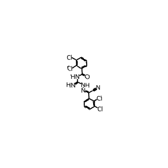 N#C/C(=N\NC(=N)NC(=O)c1cccc(Cl)c1Cl)c1cccc(Cl)c1Cl